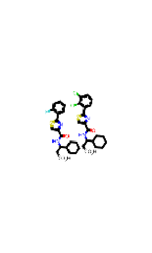 O=C(O)CC(NC(=O)c1csc(-c2cccc(Cl)c2Cl)n1)C1CCCCC1.O=C(O)CC(NC(=O)c1csc(-c2ccccc2F)n1)C1CCCCC1